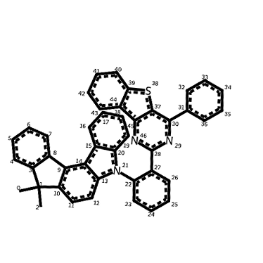 CC1(C)c2ccccc2-c2c1ccc1c2c2ccccc2n1-c1ccccc1-c1nc(-c2ccccc2)c2sc3ccccc3c2n1